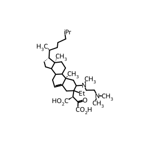 CCC1([C@H](C(=O)O)C(=O)C(=O)O)CC2=CCC3C(CC[C@@]4(C)C3CC[C@@H]4[C@H](C)CCCC(C)C)[C@@]2(C)CC1N(C)CCN(C)C